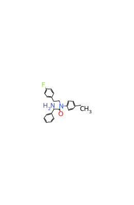 CCc1ccc(N(CCc2ccc(F)cc2)C(=O)C(N)c2ccccc2)cc1